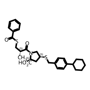 C[C@H](CSC(=O)c1ccccc1)C(=O)N1C[C@@H](SCc2ccc(C3CCCCC3)cc2)C[C@H]1C(=O)O